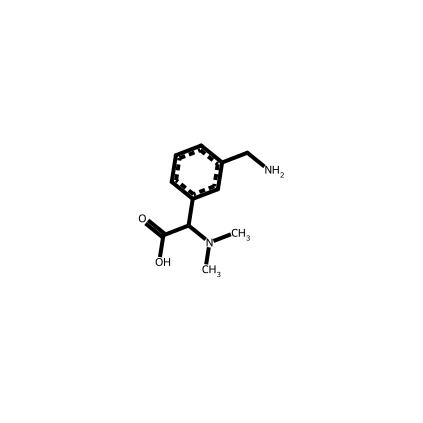 CN(C)C(C(=O)O)c1cccc(CN)c1